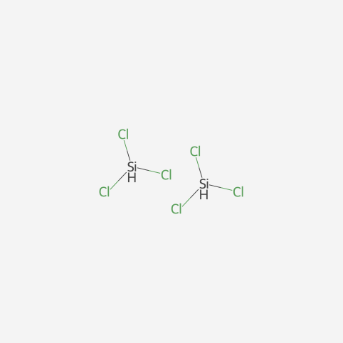 Cl[SiH](Cl)Cl.Cl[SiH](Cl)Cl